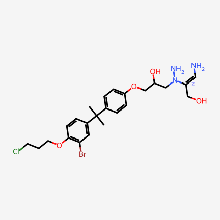 CC(C)(c1ccc(OCC(O)CN(N)/C(=C\N)CO)cc1)c1ccc(OCCCCl)c(Br)c1